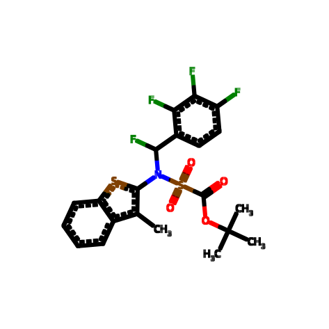 Cc1c(N(C(F)c2ccc(F)c(F)c2F)S(=O)(=O)C(=O)OC(C)(C)C)sc2ccccc12